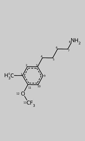 Cc1cc(CCCCN)ccc1OC(F)(F)F